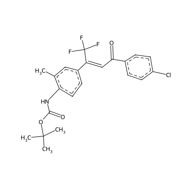 Cc1cc(C(=CC(=O)c2ccc(Cl)cc2)C(F)(F)F)ccc1NC(=O)OC(C)(C)C